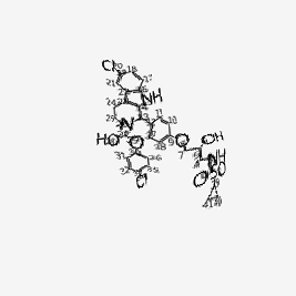 O=S(=O)(NCC(O)COc1ccc(C2c3[nH]c4ccc(Cl)cc4c3CCN2C(O)Oc2ccc(Cl)cc2)cc1)C1CC1